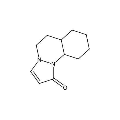 O=c1ccn2n1C1CCCCC1CC2